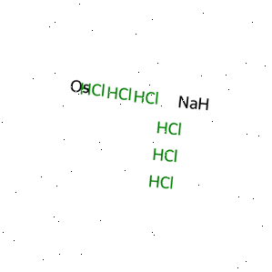 Cl.Cl.Cl.Cl.Cl.Cl.[NaH].[Os]